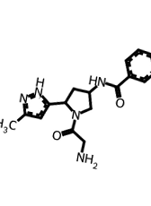 Cc1cc(C2CC(NC(=O)c3ccccc3)CN2C(=O)CN)[nH]n1